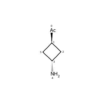 CC(=O)[C@H]1C[C@H](N)C1